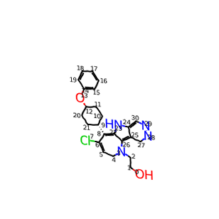 OCCN1CC=C(Cl)C([C@H]2CC[C@H](Oc3ccccc3)CC2)=c2[nH]c3c(c21)CN=NC=3